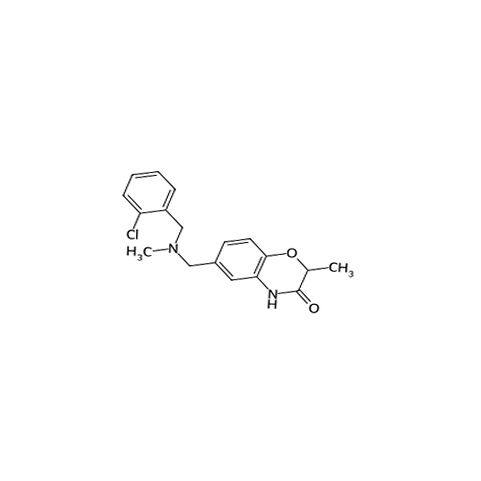 CC1Oc2ccc(CN(C)Cc3ccccc3Cl)cc2NC1=O